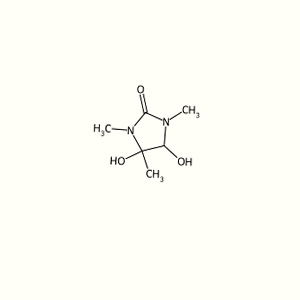 CN1C(=O)N(C)C(C)(O)C1O